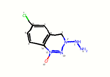 NNN1Cc2cc(Cl)ccc2[N+]([O-])=N1